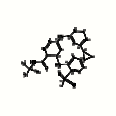 [2H]C([2H])([2H])NC(=O)c1nnc(Nc2cc(C3CC3)ncn2)cc1Nc1ncccc1S(C)(=O)=O